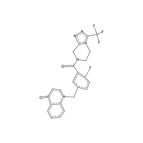 O=C(c1cc(Cn2ccc(=O)c3ccccc32)ccc1F)N1CCn2c(nnc2C(F)(F)F)C1